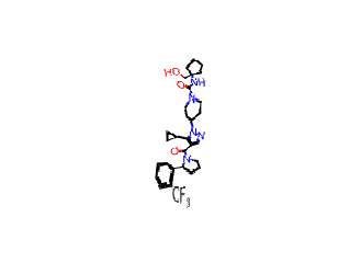 O=C(NC1(CO)CCCC1)N1CCC(n2ncc(C(=O)N3CCCC3c3ccccc3C(F)(F)F)c2C2CC2)CC1